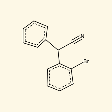 N#CC(c1ccccc1)c1ccccc1Br